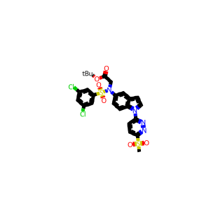 CC(C)(C)OC(=O)CN(c1ccc2c(ccn2-c2ccc(S(C)(=O)=O)nn2)c1)S(=O)(=O)c1cc(Cl)cc(Cl)c1